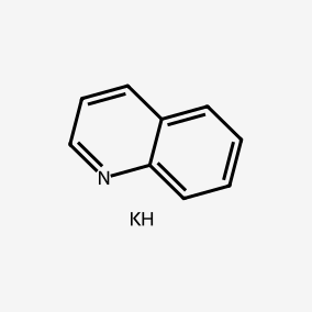 [KH].c1ccc2ncccc2c1